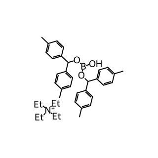 CC[N+](CC)(CC)CC.Cc1ccc(C(OB(O)OC(c2ccc(C)cc2)c2ccc(C)cc2)c2ccc(C)cc2)cc1